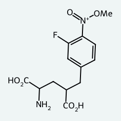 CO[N+](=O)c1ccc(CC(CC(N)C(=O)O)C(=O)O)cc1F